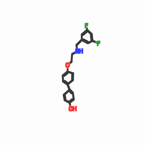 Oc1ccc(-c2ccc(OCCNCc3cc(F)cc(F)c3)cc2)cc1